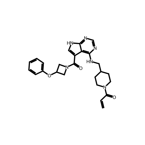 C=CC(=O)N1CCC(CNc2ncnc3[nH]cc(C(=O)N4CC(Oc5ccccc5)C4)c23)CC1